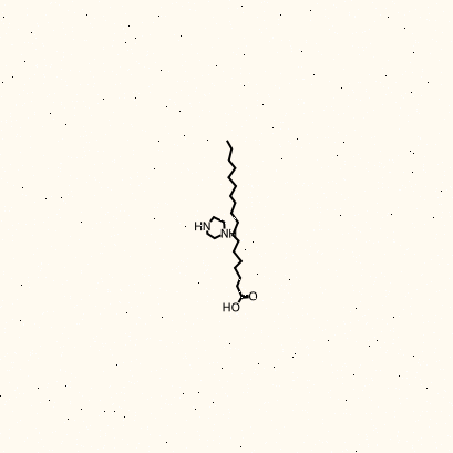 C1CNCCN1.CCCCCCCCCCCCCCCCCC(=O)O